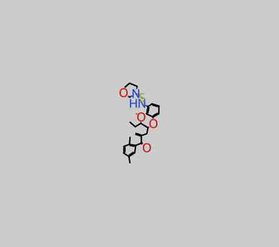 C=C(CC(Oc1cccc(NSN2CCCOC2)c1)C(CC)OC)C(=O)c1cc(C)ccc1C